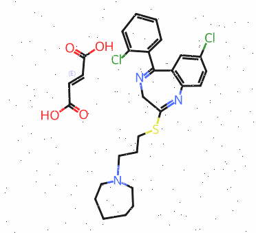 Clc1ccc2c(c1)C(c1ccccc1Cl)=NCC(SCCCN1CCCCCC1)=N2.O=C(O)/C=C/C(=O)O